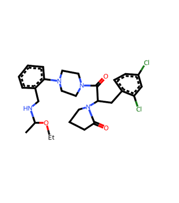 CCOC(C)NCc1ccccc1N1CCN(C(=O)C(Cc2ccc(Cl)cc2Cl)N2CCCC2=O)CC1